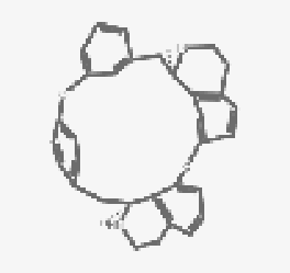 c1cc2cc(c1)Oc1ccc(cc1)C[C@@H]1NCCc3cccc(c31)Oc1ccc3c(c1)[C@@H](C2)NCC3